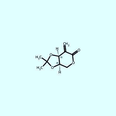 C=C1C(=O)OC[C@H]2OC(C)(C)O[C@@H]12